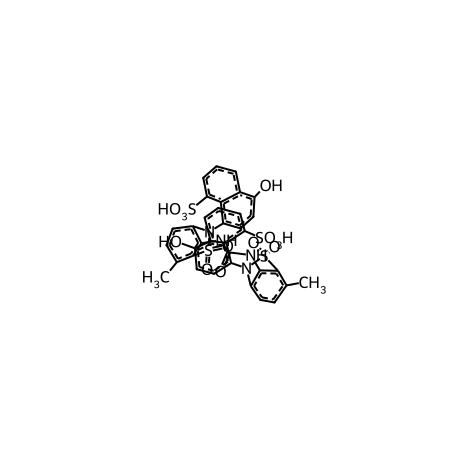 Cc1ccc2c(NC(=O)Nc3c4ccc(C)c3S(=O)(=O)N4c3ccc(O)c4cccc(S(=O)(=O)O)c34)c1S(=O)(=O)N2c1ccc(O)c2cccc(S(=O)(=O)O)c12